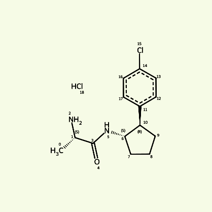 C[C@H](N)C(=O)N[C@H]1CCC[C@@H]1c1ccc(Cl)cc1.Cl